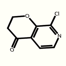 O=C1CCOc2c1ccnc2Cl